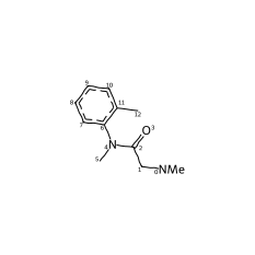 CNCC(=O)N(C)c1ccccc1C